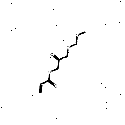 C=CC(=O)OCC(=O)COCOC